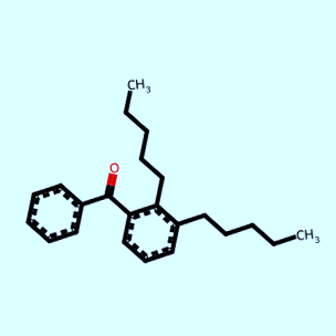 CCCCCc1cccc(C(=O)c2ccccc2)c1CCCCC